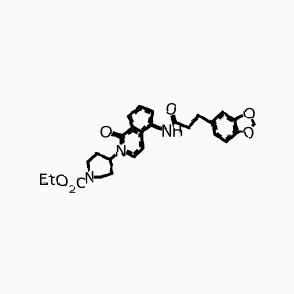 CCOC(=O)N1CCC(n2ccc3c(NC(=O)CCc4ccc5c(c4)OCO5)cccc3c2=O)CC1